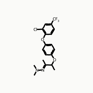 C/C(=N\N(C)C)C(C)Oc1ccc(Oc2ccc(C(F)(F)F)cc2Cl)cc1